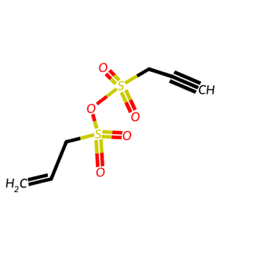 C#CCS(=O)(=O)OS(=O)(=O)CC=C